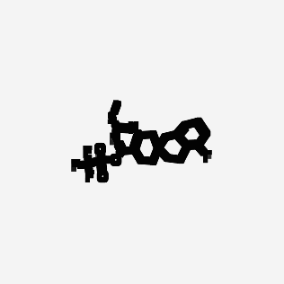 CSc1nc2c(c(OS(=O)(=O)C(F)(F)F)n1)CCC1(CCc3c(F)cccc3C1)C2